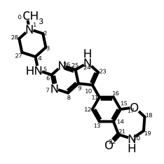 CN1CCC(Nc2ncc3c(-c4ccc5c(c4)OCCNC5=O)c[nH]c3n2)CC1